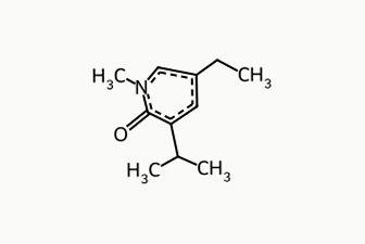 CCc1cc(C(C)C)c(=O)n(C)c1